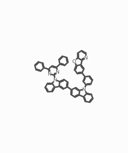 c1ccc(-c2cc(-c3ccccc3)nc(-n3c4ccccc4c4cc(-c5ccc6c7ccccc7n(-c7cccc(-c8ccc9oc%10cccnc%10c9c8)c7)c6c5)ccc43)n2)cc1